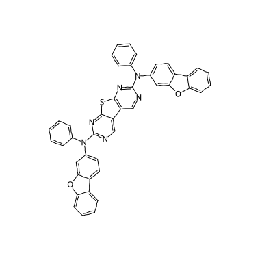 c1ccc(N(c2ccc3c(c2)oc2ccccc23)c2ncc3c(n2)sc2nc(N(c4ccccc4)c4ccc5c(c4)oc4ccccc45)ncc23)cc1